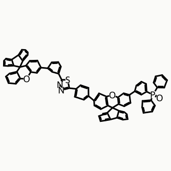 O=P(c1ccccc1)(c1ccccc1)c1cccc(-c2ccc3c(c2)Oc2cc(-c4ccc(-c5nnc(-c6cccc(-c7ccc8c(c7)Oc7ccccc7C87c8ccccc8-c8ccccc87)c6)s5)cc4)ccc2C32c3ccccc3-c3ccccc32)c1